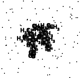 CC[C@@]12C(=O)C[C@H]([C@H](C)CCCC(C)C)[C@@]1(C)CCC1C2=CC[C@H]2C[C@@H]([n+]3ccccc3)CC[C@]12C.CC[C@@]12C(=O)C[C@H]([C@H](C)CCCC(C)C)[C@@]1(C)CCC1C2=CC[C@H]2C[C@@H]([n+]3ccccc3)CC[C@]12C.O=S(=O)([O-])[O-]